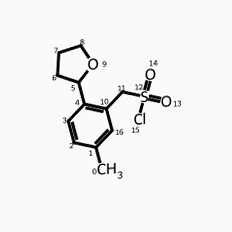 Cc1ccc(C2CCCO2)c(CS(=O)(=O)Cl)c1